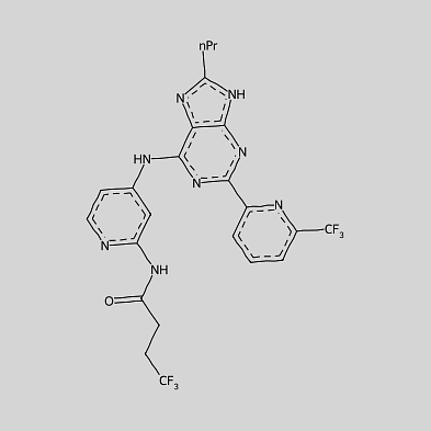 CCCc1nc2c(Nc3ccnc(NC(=O)CCC(F)(F)F)c3)nc(-c3cccc(C(F)(F)F)n3)nc2[nH]1